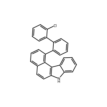 Clc1ccccc1-c1ccccc1-c1cccc2ccc3[nH]c4ccccc4c3c12